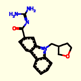 NC(N)=NC(=O)c1ccc2c3ccccc3n(CC3CCOC3)c2c1